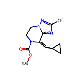 CC(C)(C)OC(=O)N1CCn2nc(C(F)(F)F)nc2C1=CC1CC1